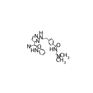 CN(C)CCNC(=O)c1ccc(CCNc2nccc(C(C#N)=C3Nc4ccccc4O3)n2)cc1